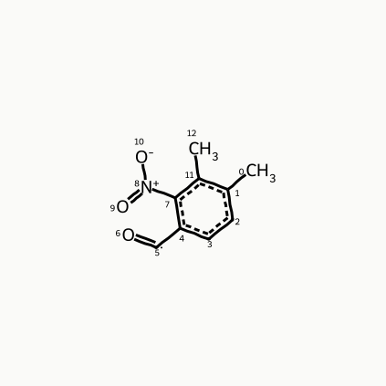 Cc1ccc([C]=O)c([N+](=O)[O-])c1C